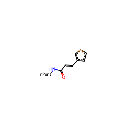 CCCCCNC(=O)C=Cc1ccsc1